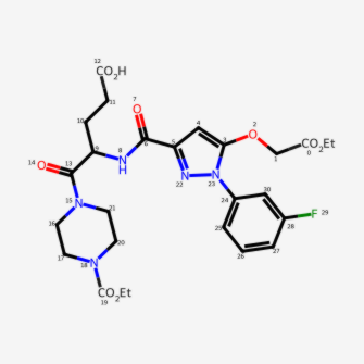 CCOC(=O)COc1cc(C(=O)NC(CCC(=O)O)C(=O)N2CCN(C(=O)OCC)CC2)nn1-c1cccc(F)c1